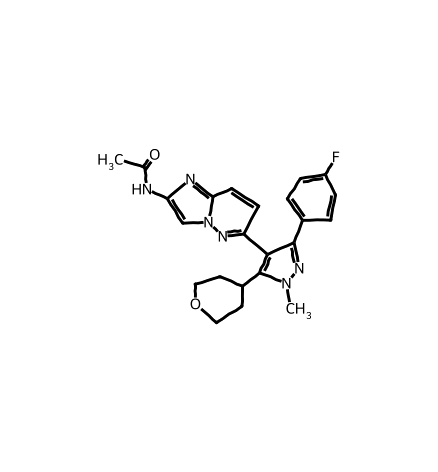 CC(=O)Nc1cn2nc(-c3c(-c4ccc(F)cc4)nn(C)c3C3CCOCC3)ccc2n1